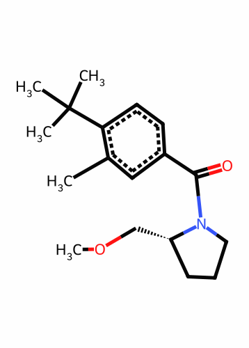 COC[C@H]1CCCN1C(=O)c1ccc(C(C)(C)C)c(C)c1